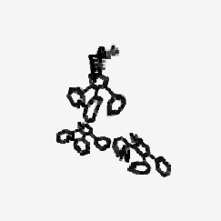 [Cl-].[Cl-].[Cl-].[Cl-].[Ru+4].c1ccc(-c2ccnc(-c3ccccn3)c2-c2ccccc2)cc1.c1ccc(-c2ccnc(-c3ccccn3)c2-c2ccccc2)cc1.c1ccc(-c2ccnc(-c3ccccn3)c2-c2ccccc2)cc1